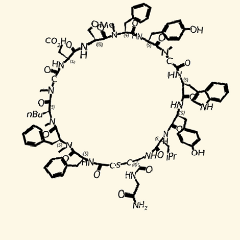 CCCC[C@H]1C(=O)N(C)CC(=O)N[C@@H](CC(=O)O)C(=O)N[C@@H](COC)C(=O)N(C)[C@@H](Cc2ccccc2)C(=O)N[C@@H](Cc2ccc(O)cc2)C(=O)N(C)CC(=O)N[C@@H](Cc2c[nH]c3ccccc23)C(=O)N[C@@H](Cc2ccc(O)cc2)C(=O)N[C@@H](CC(C)C)C(=O)N[C@H](C(=O)NCC(N)=O)CSCC(=O)N[C@@H](Cc2ccccc2)C(=O)N(C)[C@@H](Cc2ccccc2)C(=O)N1C